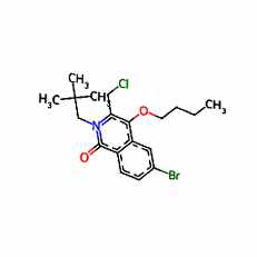 CCCCOc1c(CCl)n(CC(C)(C)C)c(=O)c2ccc(Br)cc12